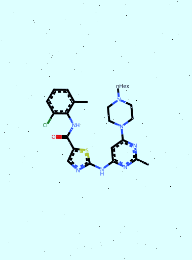 CCCCCCN1CCN(c2cc(Nc3ncc(C(=O)Nc4c(C)cccc4Cl)s3)nc(C)n2)CC1